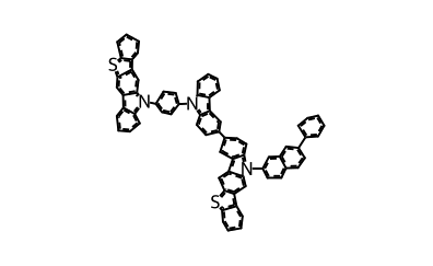 c1ccc(-c2ccc3ccc(-n4c5ccc(-c6ccc7c(c6)c6ccccc6n7-c6ccc(-n7c8ccccc8c8cc9sc%10ccccc%10c9cc87)cc6)cc5c5cc6sc7ccccc7c6cc54)cc3c2)cc1